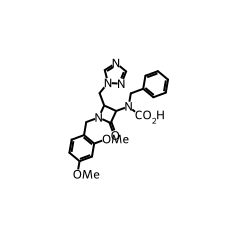 COc1ccc(CN2C(=O)C(N(Cc3ccccc3)C(=O)O)C2Cn2cncn2)c(OC)c1